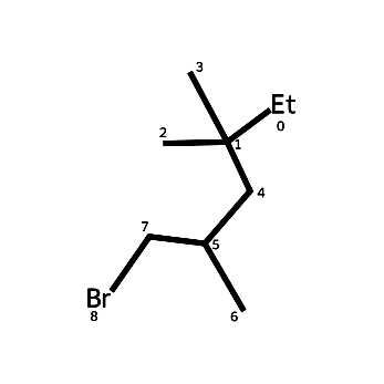 CCC(C)(C)CC(C)CBr